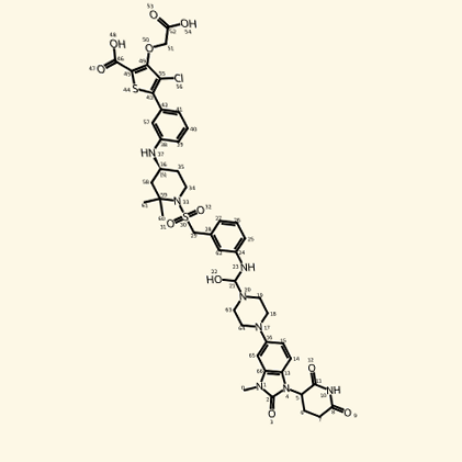 Cn1c(=O)n(C2CCC(=O)NC2=O)c2ccc(N3CCN(C(O)Nc4cccc(CS(=O)(=O)N5CC[C@H](Nc6cccc(-c7sc(C(=O)O)c(OCC(=O)O)c7Cl)c6)CC5(C)C)c4)CC3)cc21